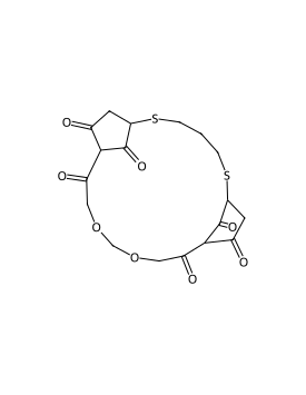 O=C1COCOCC(=O)C2C(=O)CC(SCCCSC3CC(=O)C1C3=O)C2=O